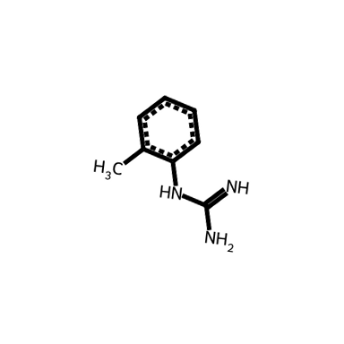 Cc1ccccc1NC(=N)N